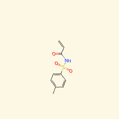 C=CC(=O)NS(=O)(=O)c1ccc(C)cc1